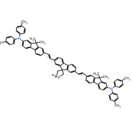 CCC1(CC)c2cc(/C=C/c3ccc4c(c3)C(C)(C)c3cc(N(c5ccc(C)cc5)c5ccc(C)cc5)ccc3-4)ccc2-c2ccc(/C=C/c3ccc4c(c3)C(C)(C)c3cc(N(c5ccc(C)cc5)c5ccc(C)cc5)ccc3-4)cc21